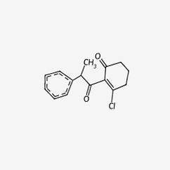 CC(C(=O)C1=C(Cl)CCCC1=O)c1ccccc1